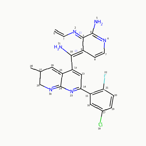 C=C/N=C1/C(N)=NC=C/C1=C(/N)c1cc(-c2cc(Cl)ccc2F)nc2c1=CC(C)CN=2